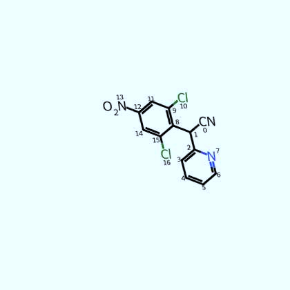 N#CC(c1ccccn1)c1c(Cl)cc([N+](=O)[O-])cc1Cl